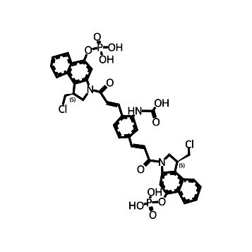 O=C(O)Nc1cc(C=CC(=O)N2C[C@@H](CCl)c3c2cc(OP(=O)(O)O)c2ccccc32)ccc1C=CC(=O)N1C[C@@H](CCl)c2c1cc(OP(=O)(O)O)c1ccccc21